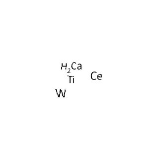 [CaH2].[Ce].[Ti].[W]